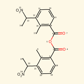 Cc1c(C(=O)OC(=O)c2cccc(C(C)[N+](=O)[O-])c2C)cccc1C(C)[N+](=O)[O-]